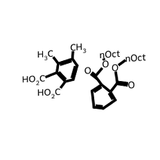 CCCCCCCCOC(=O)c1ccccc1C(=O)OCCCCCCCC.Cc1ccc(C(=O)O)c(C(=O)O)c1C